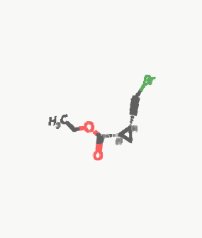 CCOC(=O)[C@H]1C[C@H]1C#CBr